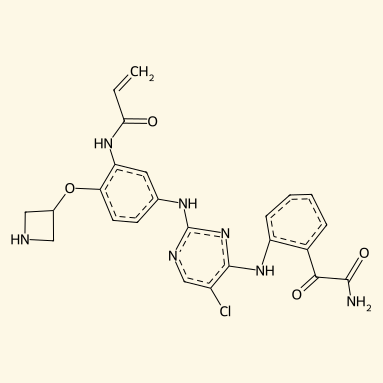 C=CC(=O)Nc1cc(Nc2ncc(Cl)c(Nc3ccccc3C(=O)C(N)=O)n2)ccc1OC1CNC1